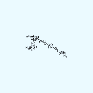 CCCCC[C@H](NC(=O)CCCC(=O)NCCOCCOCC(=O)NCCOCCOCC(=O)NCN)C(=O)NCCCC[C@H](NCN)C(N)=O